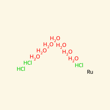 Cl.Cl.Cl.O.O.O.O.O.O.O.[Ru]